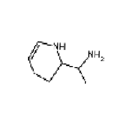 CC(N)C1CCC=CN1